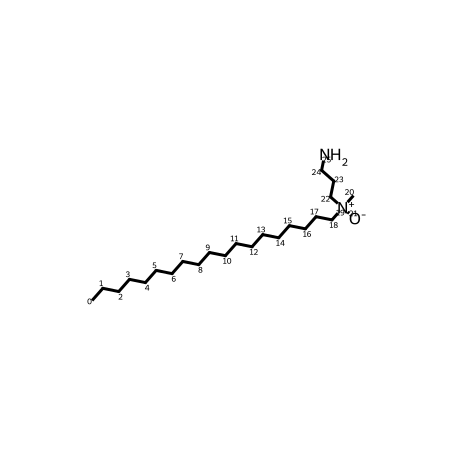 CCCCCCCCCCCCCCCCCCC[N+](C)([O-])CCCN